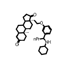 CCCC(NC1CCCCC1)c1cccc(OCC[C@]23CCC4C(CCC5CC(=O)CC[C@@]54C)C2CCC3=O)c1